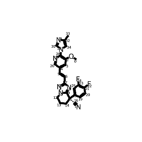 COc1cc(/C=C/c2nc3n(n2)CCC[C@]3(C#N)c2ccc(F)c(F)c2)cnc1-n1cnc(C)c1